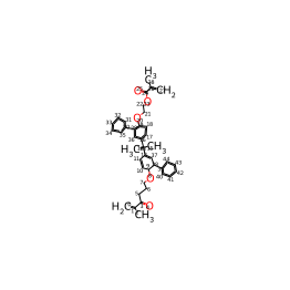 C=C(C)C(=O)CCCOC1C=CC(C(C)(C)c2ccc(OCCOC(=O)C(=C)C)c(-c3ccccc3)c2)=CC1c1ccccc1